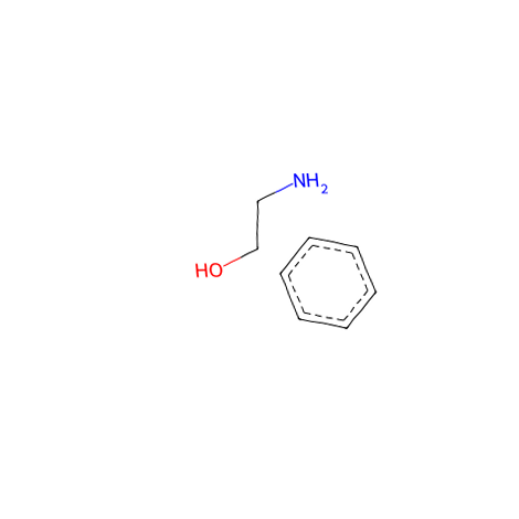 NCCO.c1ccccc1